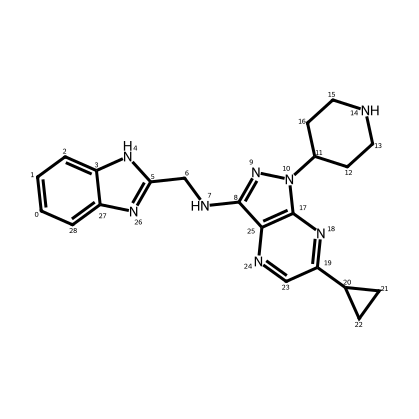 c1ccc2[nH]c(CNc3nn(C4CCNCC4)c4nc(C5CC5)cnc34)nc2c1